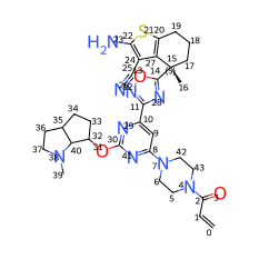 C=CC(=O)N1CCN(c2cc(-c3noc([C@@]4(C)CCCc5sc(N)c(C#N)c54)n3)nc(OC3CCC4CCN(C)C43)n2)CC1